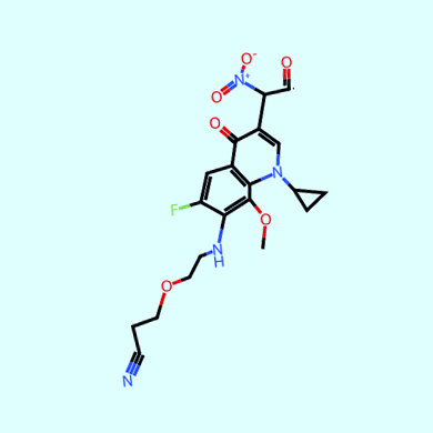 COc1c(NCCOCCC#N)c(F)cc2c(=O)c(C([C]=O)[N+](=O)[O-])cn(C3CC3)c12